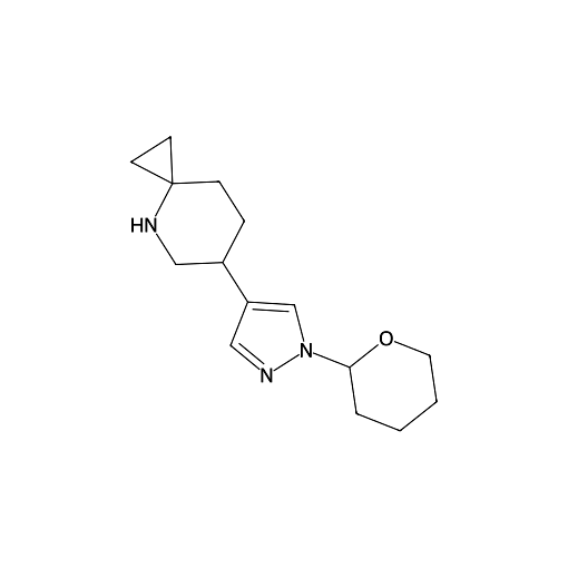 c1nn(C2CCCCO2)cc1C1CCC2(CC2)NC1